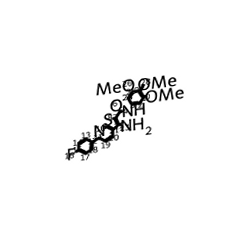 COc1cc(NC(=O)c2sc3nc(-c4ccc(F)cc4)ccc3c2N)cc(OC)c1OC